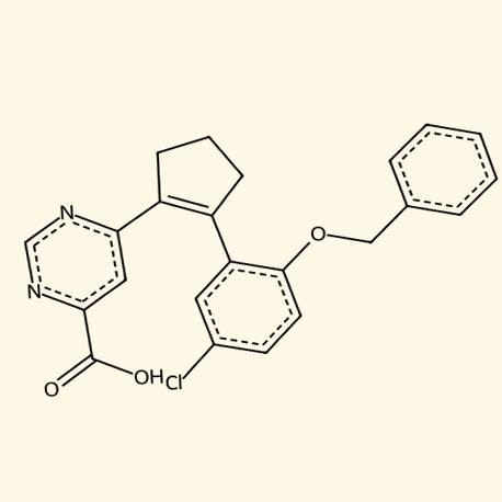 O=C(O)c1cc(C2=C(c3cc(Cl)ccc3OCc3ccccc3)CCC2)ncn1